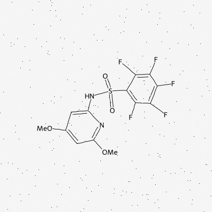 COc1cc(NS(=O)(=O)c2c(F)c(F)c(F)c(F)c2F)nc(OC)c1